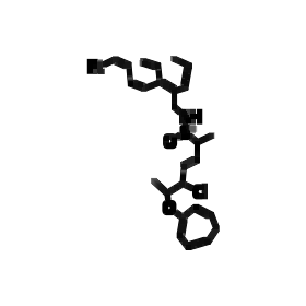 C=CC(/C=C\C=C/CC)=C(\C=C/C)CN[S+]([O-])C(C)C=CC(Cl)C(C)OC1=CC=CCC=C1